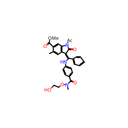 COC(=O)c1cc2c(cc1C)C(=C(Nc1ccc(C(=O)N(C)OCCO)cc1)c1ccccc1)C(=O)N2C(C)=O